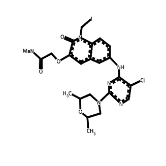 CNC(=O)COc1cc2cc(Nc3nc(N4CC(C)OC(C)C4)ncc3Cl)ccc2n(CI)c1=O